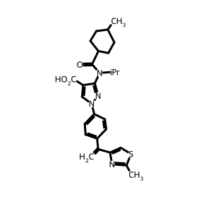 C=C(c1ccc(-n2cc(C(=O)O)c(N(C(=O)C3CCC(C)CC3)C(C)C)n2)cc1)c1csc(C)n1